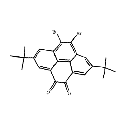 CC(C)(C)c1cc2c(Br)c(Br)c3cc(C(C)(C)C)cc4c(=O)c(=O)c(c1)c2c34